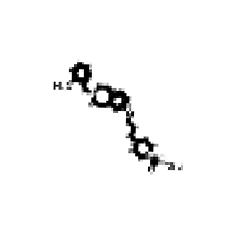 Cc1ccccc1CN1CCc2ccc(OCCCC3CCN(C(=O)OC(C)(C)C)CC3)cc2CC1